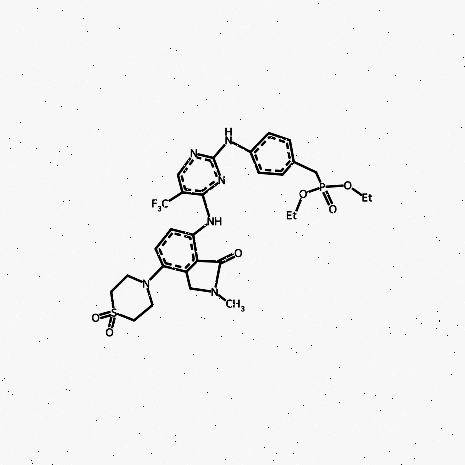 CCOP(=O)(Cc1ccc(Nc2ncc(C(F)(F)F)c(Nc3ccc(N4CCS(=O)(=O)CC4)c4c3C(=O)N(C)C4)n2)cc1)OCC